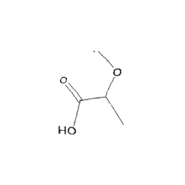 [CH2]OC(C)C(=O)O